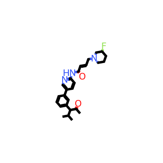 CC(=O)C(c1cccc(-c2ccc(NC(=O)/C=C/CN3CCCC(F)C3)nc2)c1)C(C)C